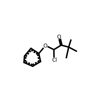 CC(C)(C)C(=O)C(Cl)Oc1ccccc1